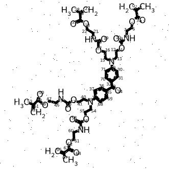 C=C(C)C(=O)OCCNC(=O)OCCN(CCOC(=O)NCCOC(=O)C(=C)C)c1ccc(C(=O)c2ccc(N(CCOC(=O)NCCOC(=O)C(=C)C)CCOC(=O)NCCOC(=O)C(=C)C)cc2)cc1